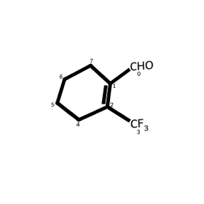 O=CC1=C(C(F)(F)F)CCCC1